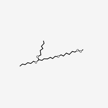 CCCCCCOC(CCCCCCOCCCCCCOOC)OCCCCCC